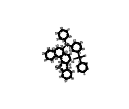 CC(C)(c1ccccc1)c1cccc(N(c2ccccc2)c2cc3ccccc3c3c2ccc2c4ccccc4[se]c23)c1